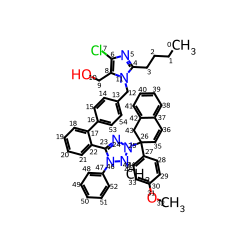 CCCCc1nc(Cl)c(CO)n1Cc1ccc(-c2ccccc2C2=NN(C3(c4ccc(OC)cc4)C=Cc4ccccc4C3)N(C)N2c2ccccc2)cc1